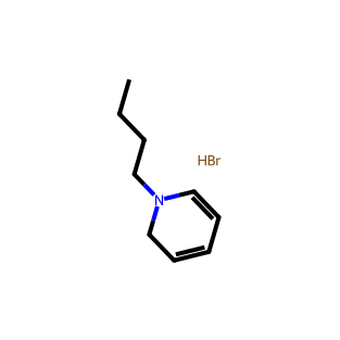 Br.CCCCN1C=CC=CC1